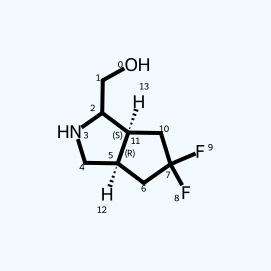 OCC1NC[C@@H]2CC(F)(F)C[C@H]12